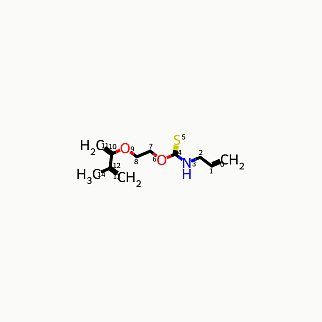 C=CCNC(=S)OCCOC(=C)C(=C)C